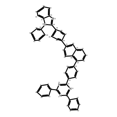 c1ccc(-c2nc(-c3ccccc3)nc(-c3ccc(-c4cccc5cc(-c6ccc(-c7nc8ccccc8n7-c7ccccc7)cc6)ccc45)cc3)n2)cc1